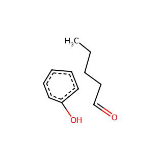 CCCCC=O.Oc1ccccc1